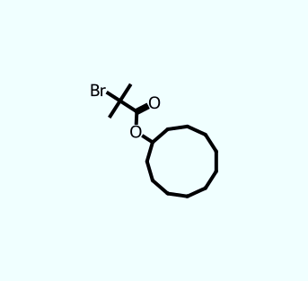 CC(C)(Br)C(=O)OC1CCCCCCCCCC1